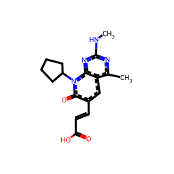 CNc1nc(C)c2cc(C=CC(=O)O)c(=O)n(C3CCCC3)c2n1